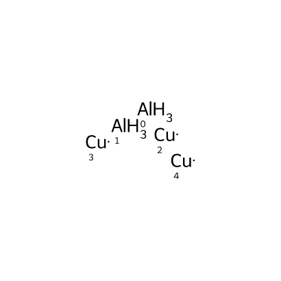 [AlH3].[AlH3].[Cu].[Cu].[Cu]